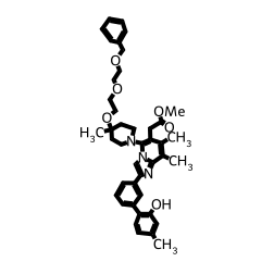 COC(=O)Cc1c(C)c(C)c2nc(-c3cccc(-c4ccc(C)cc4O)c3)cn2c1N1CCC(C)(OCCOCCOCc2ccccc2)CC1